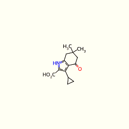 CC1(C)CC(=O)c2c([nH]c(C(=O)O)c2C2CC2)C1